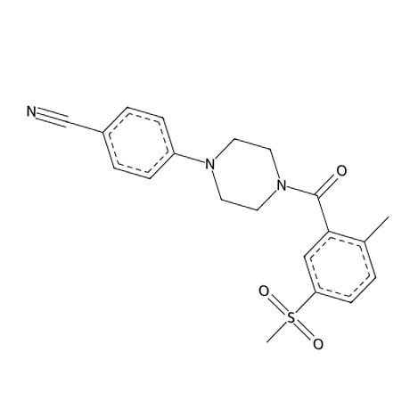 Cc1ccc(S(C)(=O)=O)cc1C(=O)N1CCN(c2ccc(C#N)cc2)CC1